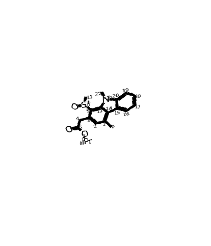 Cc1cc(CC(=O)OC(C)C)c([S+](C)[O-])c2c1c1ccccc1n2C